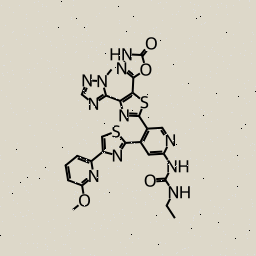 CCNC(=O)Nc1cc(-c2nc(-c3cccc(OC)n3)cs2)c(-c2nc(-c3ncnn3C)c(-c3n[nH]c(=O)o3)s2)cn1